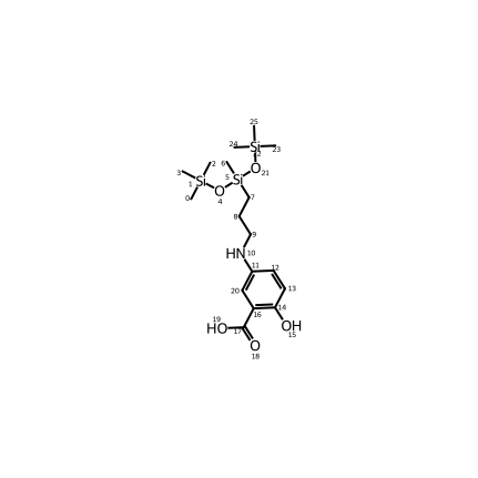 C[Si](C)(C)O[Si](C)(CCCNc1ccc(O)c(C(=O)O)c1)O[Si](C)(C)C